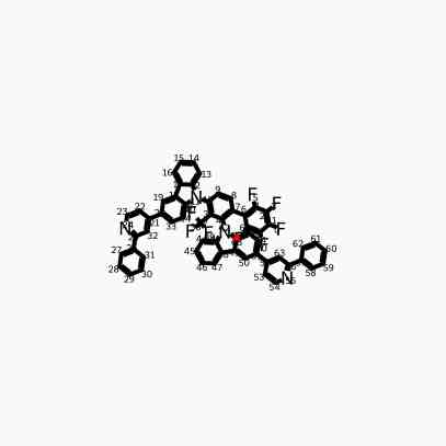 Fc1c(F)c(F)c(-c2ccc(-n3c4ccccc4c4cc(-c5ccnc(-c6ccccc6)c5)ccc43)c(C(F)(F)F)c2-n2c3ccccc3c3cc(-c4ccnc(-c5ccccc5)c4)ccc32)c(F)c1F